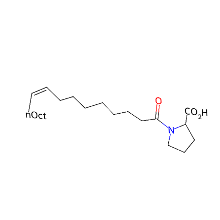 CCCCCCCC/C=C\CCCCCCCC(=O)N1CCCC1C(=O)O